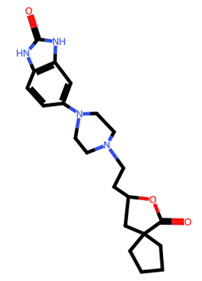 O=C1OC(CCN2CCN(c3ccc4[nH]c(=O)[nH]c4c3)CC2)CC12CCCC2